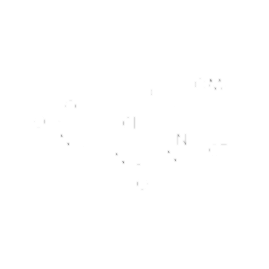 COc1cc(C(F)(F)F)n2nc(C(=O)N3CCC(N4CCOC4=O)CC3)c(Cl)c2c1Cl